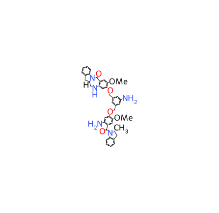 COc1cc(C(=O)N2c3ccccc3C[C@H]2C)c(N)cc1OCc1cc(N)cc(COc2cc3c(cc2OC)C(=O)N2c4ccccc4C[C@H]2CN3)c1